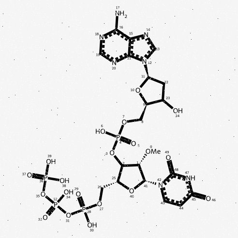 CO[C@H]1C(OP(=O)(O)OC[C@H]2O[C@@H](n3cnc4c(N)ncnc43)CC2O)[C@@H](COP(=O)(O)OP(=O)(O)OP(=O)(O)O)O[C@H]1n1ccc(=O)[nH]c1=O